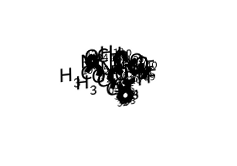 CC[C@@H](C)[C@H](NC(=O)c1c(C)noc1C)C(=O)N1CCC[C@H]1C(=O)N[C@@H](Cc1csc2ccccc12)C(=O)C(F)(F)F